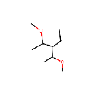 CCC(C(C)OC)C(C)OC